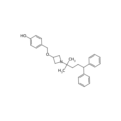 CC(C)(CCC(c1ccccc1)c1ccccc1)N1CC(OCc2ccc(O)cc2)C1